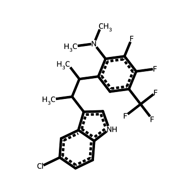 CC(c1cc(C(F)(F)F)c(F)c(F)c1N(C)C)C(C)c1c[nH]c2ccc(Cl)cc12